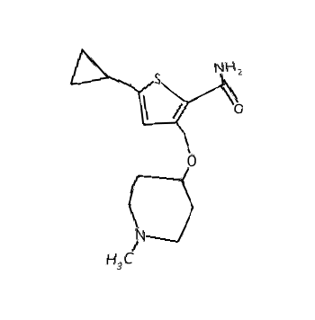 CN1CCC(Oc2cc(C3CC3)sc2C(N)=O)CC1